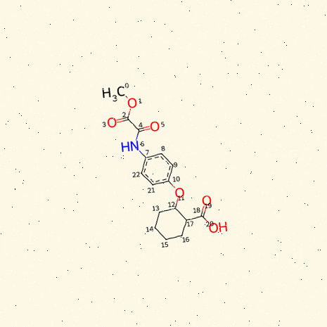 COC(=O)C(=O)Nc1ccc(OC2CCCCC2C(=O)O)cc1